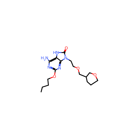 CCCCOc1nc(N)c2[nH]c(=O)n(CCOCC3CCCOC3)c2n1